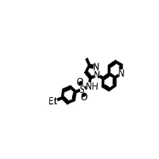 CCc1ccc(S(=O)(=O)Nc2cc(C)nn2-c2cccc3ncccc23)cc1